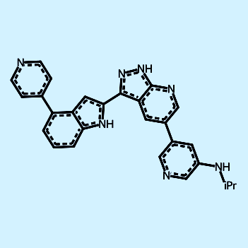 CC(C)Nc1cncc(-c2cnc3[nH]nc(-c4cc5c(-c6ccncc6)cccc5[nH]4)c3c2)c1